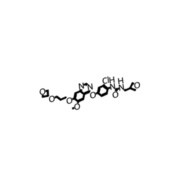 COc1cc2c(Oc3ccc(NC(=O)NCC4COC4)c(Cl)c3)ncnc2cc1OCCCOC1COC1